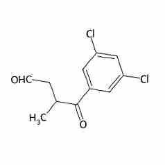 CC(CC=O)C(=O)c1cc(Cl)cc(Cl)c1